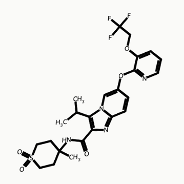 CC(C)c1c(C(=O)NC2(C)CCS(=O)(=O)CC2)nc2ccc(Oc3ncccc3OCC(F)(F)F)cn12